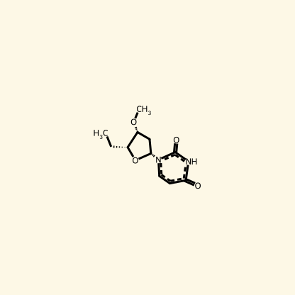 CC[C@H]1O[C@@H](n2ccc(=O)[nH]c2=O)C[C@H]1OC